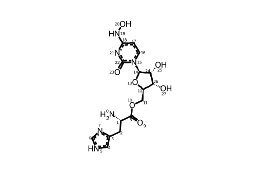 N[C@@H](Cc1c[nH]cn1)C(=O)OC[C@H]1O[C@@H](n2ccc(NO)nc2=O)[C@H](O)[C@@H]1O